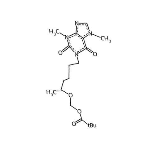 C[C@H](CCCCn1c(=O)c2c(ncn2C)n(C)c1=O)OCOC(=O)C(C)(C)C